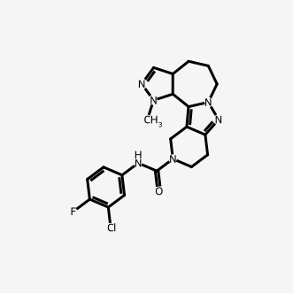 CN1N=CC2CCCn3nc4c(c3C21)CN(C(=O)Nc1ccc(F)c(Cl)c1)CC4